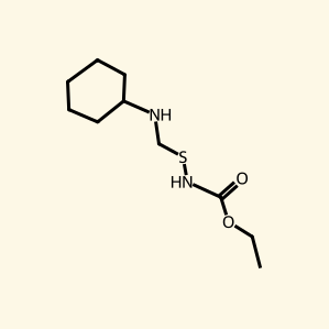 CCOC(=O)NSCNC1CCCCC1